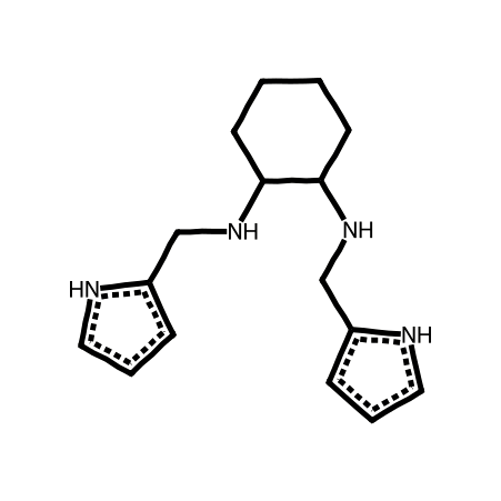 c1c[nH]c(CNC2CCCCC2NCc2ccc[nH]2)c1